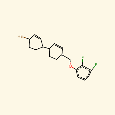 Fc1cccc(OCC2C=CC(C3C=CC(S)CC3)CC2)c1F